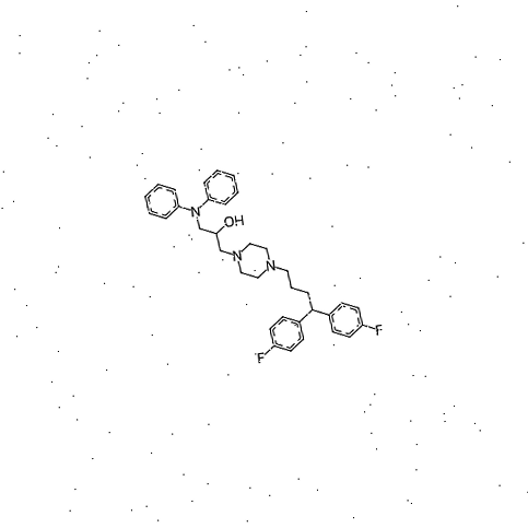 OC(CN1CCN(CCCC(c2ccc(F)cc2)c2ccc(F)cc2)CC1)CN(c1ccccc1)c1ccccc1